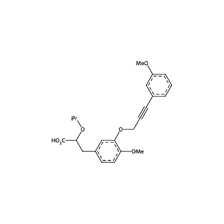 COc1cccc(C#CCOc2cc(CC(OC(C)C)C(=O)O)ccc2OC)c1